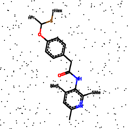 CCCCCCSC(CCC)Oc1ccc(CC(=O)Nc2c(SC)cc(C)nc2SC)cc1